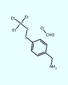 CC[N+](CC)(CC)SSc1ccc(CN)cc1.O=C[O-]